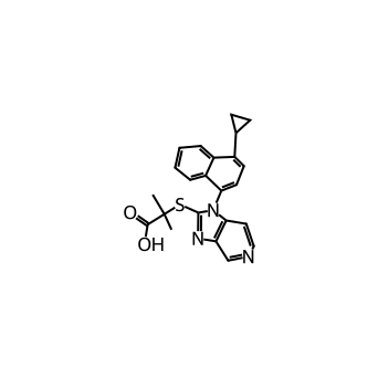 CC(C)(Sc1nc2cnccc2n1-c1ccc(C2CC2)c2ccccc12)C(=O)O